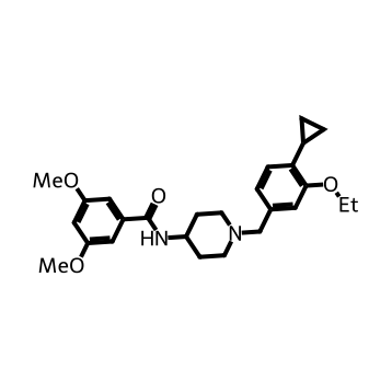 CCOc1cc(CN2CCC(NC(=O)c3cc(OC)cc(OC)c3)CC2)ccc1C1CC1